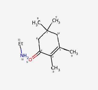 CC1=C(C)C(=O)CC(C)(C)C1.CCN